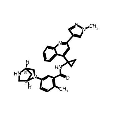 Cc1ccc(N2C[C@@H]3C[C@H]2CN3)cc1C(=O)NC1(c2cc(-c3cnn(C)c3)nc3ccccc23)CC1